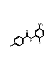 Nc1ccc(Cl)c(NC(=O)c2ccc(F)cc2)c1